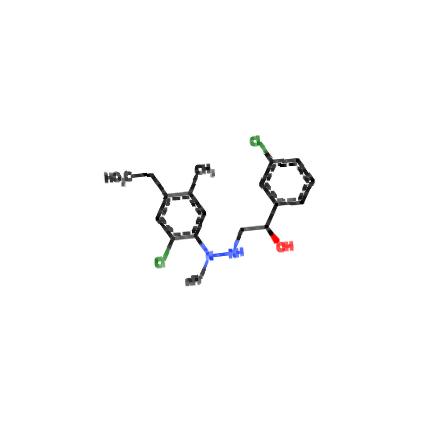 CCCN(NC[C@H](O)c1cccc(Cl)c1)c1cc(C)c(CC(=O)O)cc1Cl